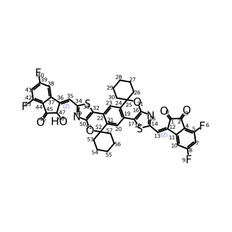 O=C1C(=O)c2c(F)cc(F)cc2/C1=C/c1nc2c(s1)-c1cc3c(cc1C1(CCCCC1)O2)-c1sc(/C=C2/c4cc(F)cc(F)c4C(=O)C2O)nc1OC31CCCCC1